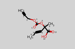 C#CCOC(=O)OC(C)(C#CC)C(=O)O